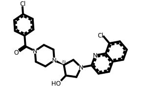 O=C(c1ccc(Cl)cc1)N1CCN([C@H]2CN(c3ccc4cccc(Cl)c4n3)CC2O)CC1